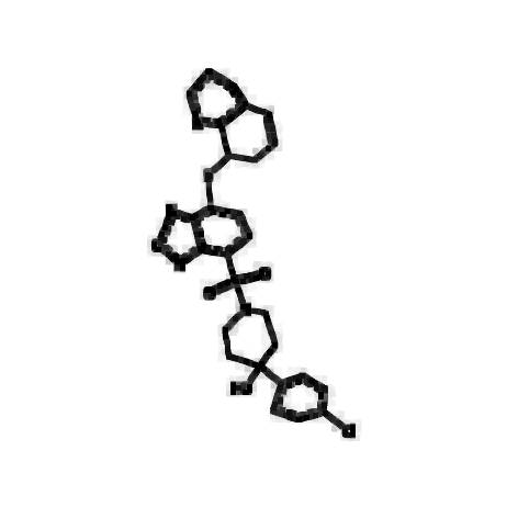 O=S(=O)(c1ccc(SC2CC=Cc3cccnc32)c2nonc12)N1CCC(O)(c2ccc(Cl)cc2)CC1